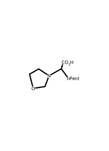 CCCCCC(C(=O)O)N1CCOC1